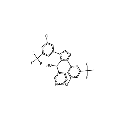 OC(c1cccnc1)c1c(-c2cc(Cl)cc(C(F)(F)F)c2)csc1-c1cc(Cl)cc(C(F)(F)F)c1